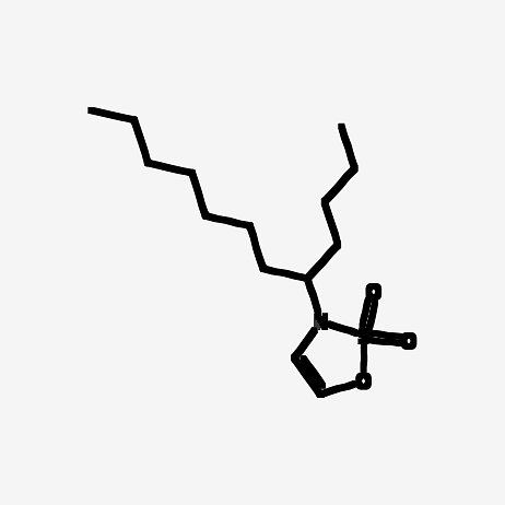 CCCCCCCC(CCCC)N1C=COS1(=O)=O